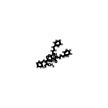 CC(=S)[C@@H](Cc1ccccc1)C(=O)NC(C(=O)NCCCc1ccccc1)C(=O)NCCCc1ccccc1